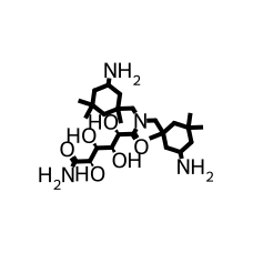 CC1(C)CC(N)CC(C)(CN(CC2(C)CC(N)CC(C)(C)C2)C(=O)[C@H](O)[C@@H](O)[C@H](O)[C@H](O)C(N)=O)C1